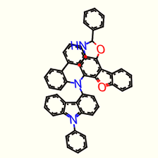 c1ccc(-c2ccccc2N(c2cc3c(c4c2oc2ccccc24)OC(c2ccccc2)N3)c2cccc3c2c2ccccc2n3-c2ccccc2)cc1